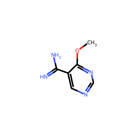 COc1ncncc1C(=N)N